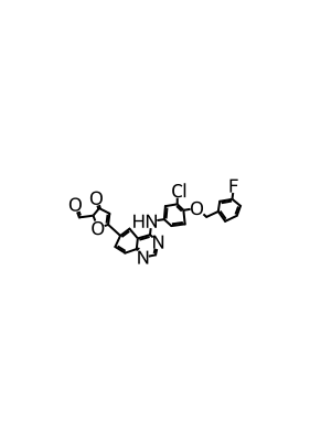 O=CC1OC(c2ccc3ncnc(Nc4ccc(OCc5cccc(F)c5)c(Cl)c4)c3c2)=CC1=O